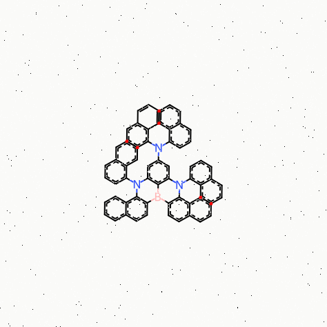 c1ccc2cccc(N(c3cc4c5c(c3)N(c3cccc6ccccc36)c3c(ccc6ccccc36)B5c3ccc5ccccc5c3N4c3cccc4ccccc34)c3cccc4c3CCC=C4)c2c#1